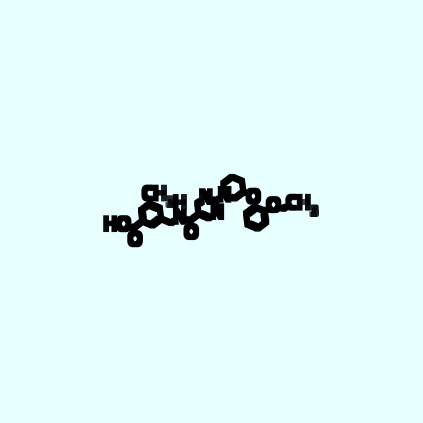 CCOc1ccccc1OC1CCCN(c2ncc(C(=O)NCc3cc(C)cc(C(=O)O)c3)cn2)C1